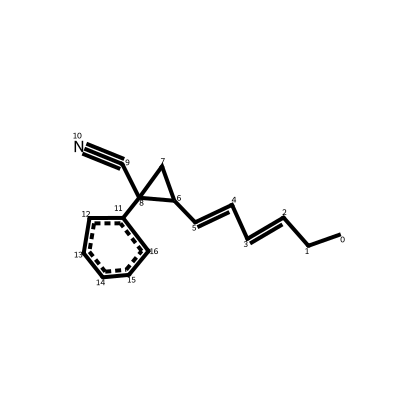 CCC=CC=CC1CC1(C#N)c1ccccc1